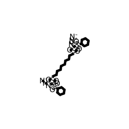 [N-]=[N+]=NC(S(=O)(=O)CCCCCCCCCCS(=O)(=O)C(N=[N+]=[N-])S(=O)(=O)C1CCCCC1)S(=O)(=O)C1CCCCC1